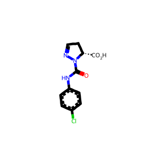 O=C(O)[C@H]1CC=NN1C(=O)Nc1ccc(Cl)cc1